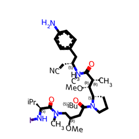 CC[C@H](C)C([C@@H](CC(=O)N1CCC[C@H]1[C@H](OC)[C@@H](C)C(=O)N(C)[C@H](CC#N)Cc1ccc(N)cc1)OC)N(C)C(=O)[C@@H](NI)C(C)C